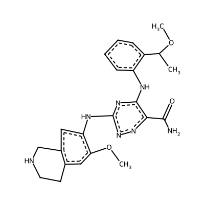 COc1cc2c(cc1Nc1nnc(C(N)=O)c(Nc3ccccc3C(C)OC)n1)CNCC2